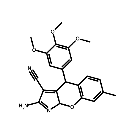 COc1cc(C2C3=C(C#N)C(N)=NC3Oc3cc(C)ccc32)cc(OC)c1OC